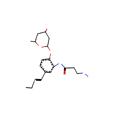 CC(=O)OC/C=C/c1ccc(OC2CC(O)CC(C(=O)O)O2)c(NC(=O)CCNC=O)c1